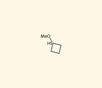 CO[SiH]1CCC1